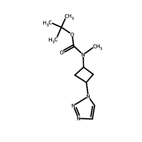 CN(C(=O)OC(C)(C)C)C1CC(n2ccnn2)C1